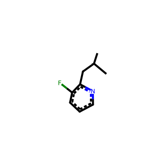 C[C](C)Cc1ncccc1F